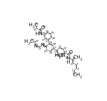 C=C/C=C\C=C(/C)NC(=O)C(=C)/C=C\C(=C/C)C1=CC/C(=N\C=N/C=C)C(c2cccc(NC(=O)C=C)c2)=C1